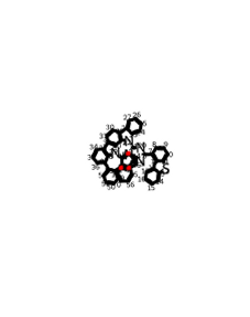 c1ccc(-c2nc(-c3cccc4sc5ccccc5c34)nc(-n3c4ccccc4c4ccc5c6cccc7c6n(c5c43)-c3ccccc3-c3ccccc3-7)n2)cc1